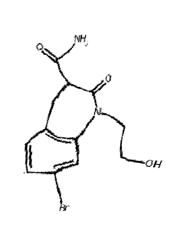 NC(=O)C1Cc2c[c]c(Br)cc2N(CCO)C1=O